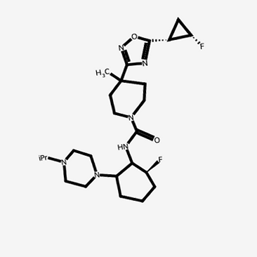 CC(C)N1CCN(C2CCC[C@H](F)C2NC(=O)N2CCC(C)(c3noc([C@@H]4C[C@@H]4F)n3)CC2)CC1